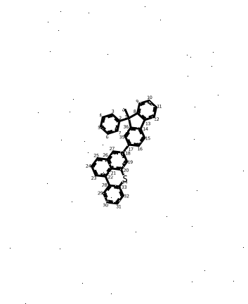 CC1(c2ccccc2)c2ccccc2-c2ccc(-c3cc4c5c(cccc5c3)-c3ccccc3S4)cc21